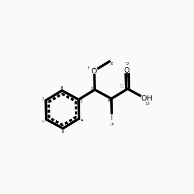 COC(c1ccccc1)C(I)C(=O)O